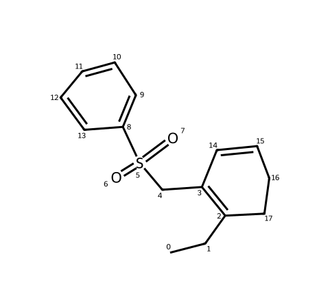 CCC1=C(CS(=O)(=O)c2ccccc2)C=CCC1